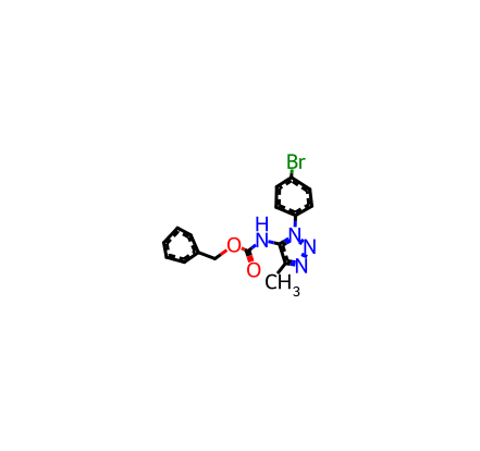 Cc1nnn(-c2ccc(Br)cc2)c1NC(=O)OCc1ccccc1